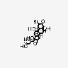 CC1C[C@H]2[C@@H]3CC(F)C4(O)CC(=O)C(Br)C[C@]4(C)[C@H]3C(O)C[C@]2(C)[C@@]1(O)C(=O)C(O)CC(=O)O